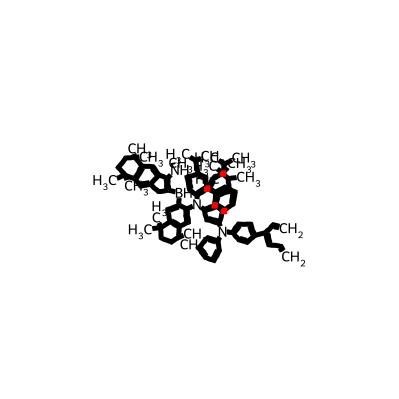 C=C/C=C(\C=C)c1ccc(N(C2=CC(N(c3cc4c(cc3BC3=C(NC)c5cc6c(cc5C3)C(C)(C)CCC6(C)C)C(C)(C)CCC4(C)C)c3ccc(C(C)C)cc3-c3ccccc3)=C(C(/C=C\CC(C)C)=C/C(C)C(C)(C)C)C2)c2ccccc2)cc1